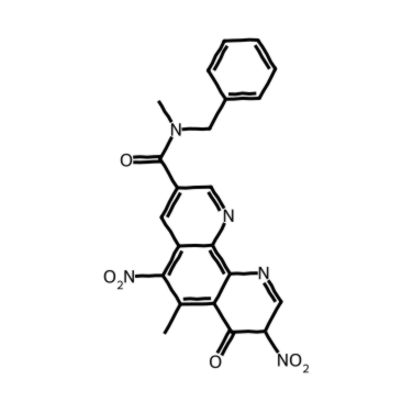 Cc1c2c(c3ncc(C(=O)N(C)Cc4ccccc4)cc3c1[N+](=O)[O-])N=CC([N+](=O)[O-])C2=O